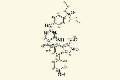 CCCP(=O)(CCC)c1ccc(Nc2ncc(C(F)(F)F)c(Nc3ccc(C4CCC(O)CC4)c4c3C(C=O)N(C)C4)n2)cc1